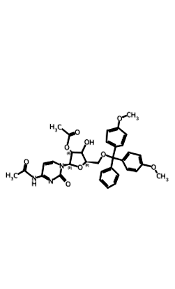 COc1ccc(C(OC[C@H]2O[C@@H](n3ccc(NC(C)=O)nc3=O)[C@H](OC(C)=O)C2O)(c2ccccc2)c2ccc(OC)cc2)cc1